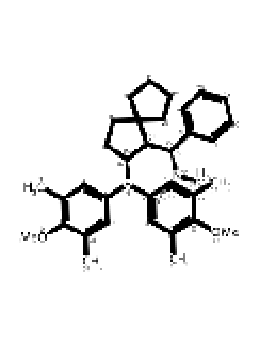 COc1c(C)cc(P(c2cc(C)c(OC)c(C)c2)[C@H]2CCC3(CCCC3)C2[C@@H](c2ccccc2)N(C)C)cc1C